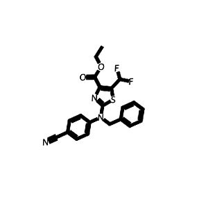 CCOC(=O)c1nc(N(Cc2ccccc2)c2ccc(C#N)cc2)sc1C(F)F